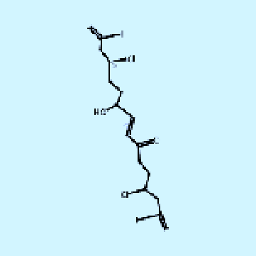 C=C(I)CC(Cl)CCC(=O)/C=C/C(O)CC[C@H](Cl)CC(=C)I